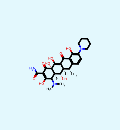 C[C@H]1c2ccc(N3CCCCC3)c(O)c2C(=O)C2=C(O)[C@]3(O)C(=O)C(C(N)=O)=C(O)C(N(C)C)[C@@H]3[C@@H](O)[C@@H]21